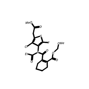 CCC(=O)N(C(=O)C1=C(C(=O)OCOC)CCCC1)c1c(F)sc(CC(=O)OC)c1Cl